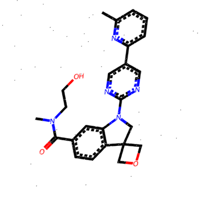 Cc1cccc(-c2cnc(N3CC4(COC4)c4ccc(C(=O)N(C)CCO)cc43)nc2)n1